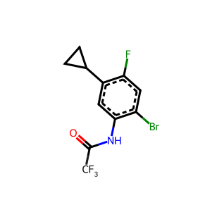 O=C(Nc1cc(C2CC2)c(F)cc1Br)C(F)(F)F